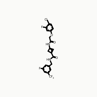 O=C(COc1ccc(Cl)c(F)c1)NC12CC(C(=O)NCc3cc(F)cc(C(F)(F)F)c3)(C1)C2